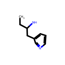 CCC([NH])Cc1cccnc1